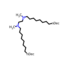 CCCCCCCCCCCCCCCCCCN(C)CCN(C)CCCCCCCCCCCCCCCCCC